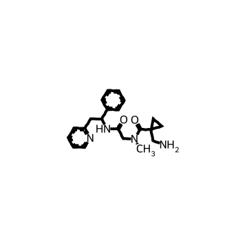 CN(CC(=O)NC(Cc1ccccn1)c1ccccc1)C(=O)C1(CN)CC1